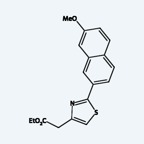 CCOC(=O)Cc1csc(-c2ccc3ccc(OC)cc3c2)n1